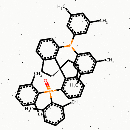 Cc1cc(C)cc(P(c2cc(C)cc(C)c2)c2cccc3c2[C@@]2(CC3)CCc3cccc(P(=O)(c4c(C)cccc4C)c4c(C)cccc4C)c32)c1